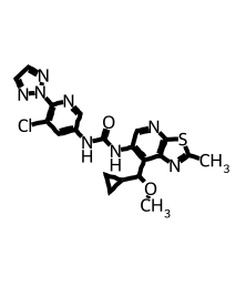 COC(c1c(NC(=O)Nc2cnc(-n3nccn3)c(Cl)c2)cnc2sc(C)nc12)C1CC1